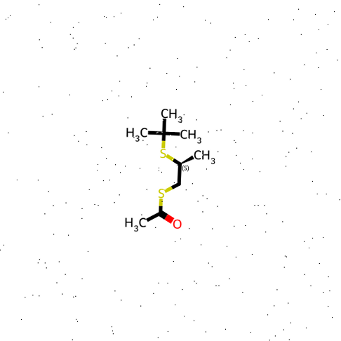 CC(=O)SC[C@H](C)SC(C)(C)C